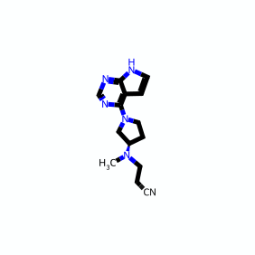 CN(CCC#N)[C@@H]1CCN(c2ncnc3[nH]ccc23)C1